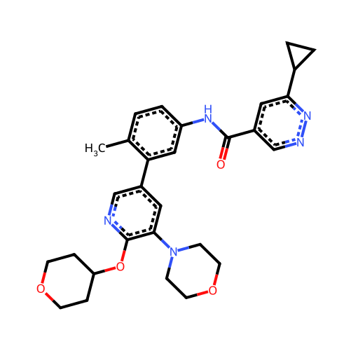 Cc1ccc(NC(=O)c2cnnc(C3CC3)c2)cc1-c1cnc(OC2CCOCC2)c(N2CCOCC2)c1